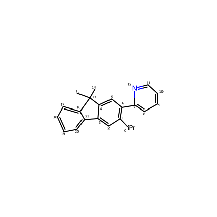 CC(C)c1cc2c(cc1-c1ccccn1)C(C)(C)c1ccccc1-2